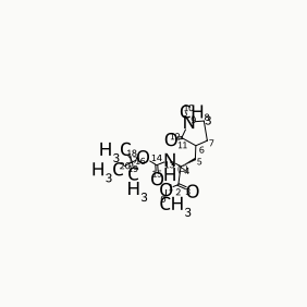 COC(=O)[C@H](CC1CCN(C)C1=O)NC(=O)OC(C)(C)C